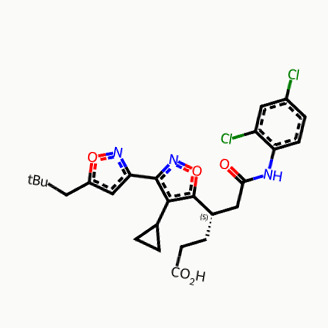 CC(C)(C)Cc1cc(-c2noc([C@@H](CCC(=O)O)CC(=O)Nc3ccc(Cl)cc3Cl)c2C2CC2)no1